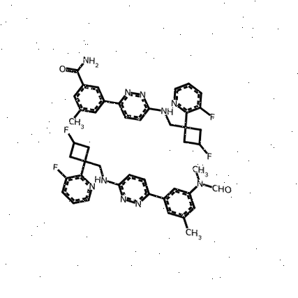 Cc1cc(-c2ccc(NCC3(c4ncccc4F)CC(F)C3)nn2)cc(N(C)C=O)c1.Cc1cc(C(N)=O)cc(-c2ccc(NCC3(c4ncccc4F)CC(F)C3)nn2)c1